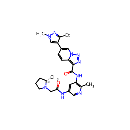 CCc1nn(C)cc1-c1ccc2c(C(=O)Nc3cc(NC(=O)CN4CCC[C@@H]4C)cnc3C)nnn2c1